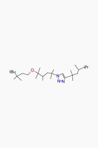 CC(C)C(C)CC(C)(C)c1cn(C(C)(C)CC(C)C(C)(C)OCCC(C)(C)C(C)(C)C)nn1